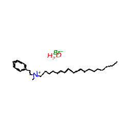 CCCCCCCCCCCCCCCCCC[N+](C)(C)CCc1ccccc1.O.[Br-]